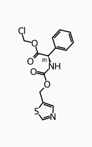 O=C(N[C@@H](C(=O)OCCl)c1ccccc1)OCc1cncs1